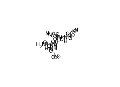 CC(C)C(NC(=O)CCCCCN1C(=O)C=CC1=O)C(=O)N[C@@H](CCCNC(N)=O)C(=O)Nc1ccc(COC(=O)N(CCCNCCN2C(=O)c3cccc4c(N5CCN(C)CC5)ccc(c34)C2=O)CCN2C(=O)c3cccc4c(N5CCN(C)CC5)ccc(c34)C2=O)cc1